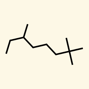 CCC(C)CCCC(C)(C)C